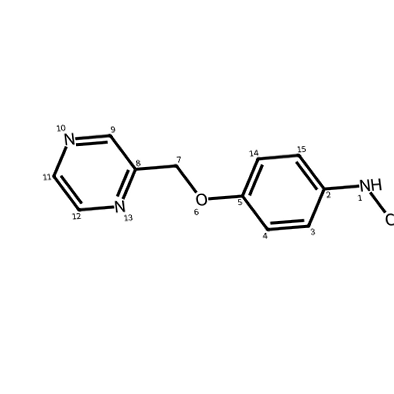 ClNc1ccc(OCc2cnccn2)cc1